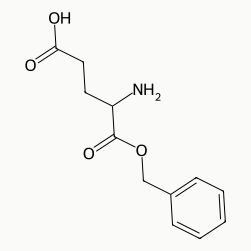 NC(CCC(=O)O)C(=O)OCc1ccccc1